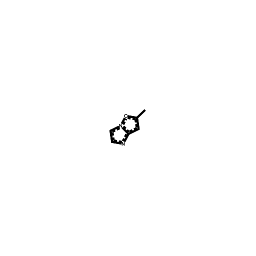 Cc1cc2nccn2o1